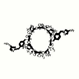 CCCc1cnn(Cc2ccc(C[C@H]3OC(=O)[C@H](CC(C)C)N(C)C(=O)[C@@H](C)OC(=O)[C@H](CC(C)C)N(C)C(=O)[C@@H](Cc4ccc(Cn5cc(CCC)cn5)cc4)OC(=O)[C@H](CC(C)C)N(C)C(=O)[C@@H](C)OC(=O)[C@H](CC(C)C)N(C)C3=O)cc2)c1